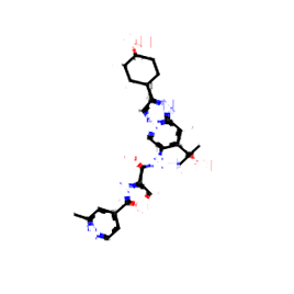 Cc1cc(-c2nc(C(=O)Nc3cn4cc(C5CCC(O)CC5)nc4cc3C(C)(C)O)co2)ccn1